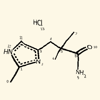 Cc1nc(CC(C)(C)C(N)=O)c[nH]1.Cl